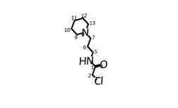 O=C(CCl)NCCCN1CCCCC1